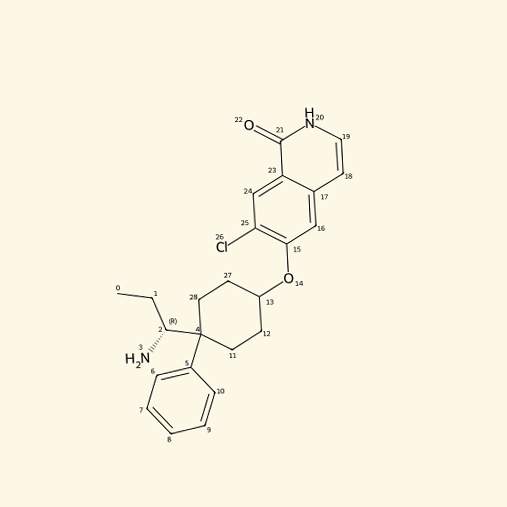 CC[C@@H](N)C1(c2ccccc2)CCC(Oc2cc3cc[nH]c(=O)c3cc2Cl)CC1